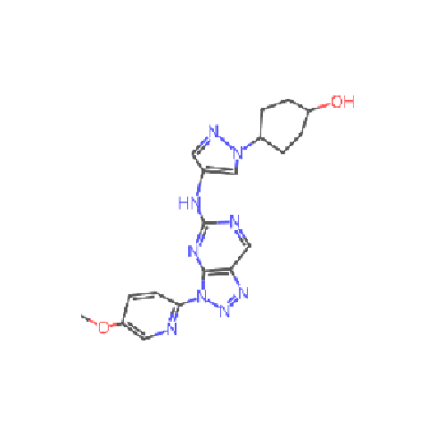 COc1ccc(-n2nnc3cnc(Nc4cnn(C5CCC(O)CC5)c4)nc32)nc1